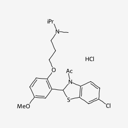 COc1ccc(OCCCN(C)C(C)C)c(C2Sc3cc(Cl)ccc3N2C(C)=O)c1.Cl